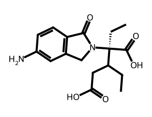 CCC(CC(=O)O)[C@](CC)(C(=O)O)N1Cc2cc(N)ccc2C1=O